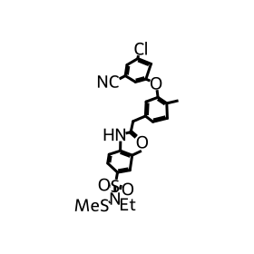 CCN(SC)S(=O)(=O)c1ccc(NC(=O)Cc2ccc(C)c(Oc3cc(Cl)cc(C#N)c3)c2)c(C)c1